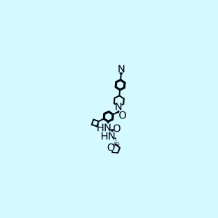 N#Cc1ccc(C2CCN(C(=O)c3ccc(C4CCC4)c(NC(=O)NC[C@@H]4CCCO4)c3)CC2)cc1